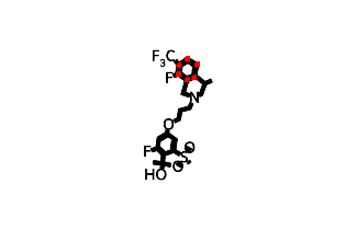 CC(CN(CCCOc1cc(F)c(C(C)(C)O)c(S(C)(=O)=O)c1)Cc1cccc(C(F)(F)F)c1F)c1ccccc1